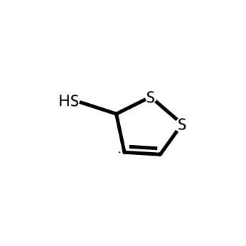 SC1[C]=CSS1